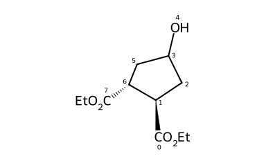 CCOC(=O)[C@@H]1CC(O)C[C@H]1C(=O)OCC